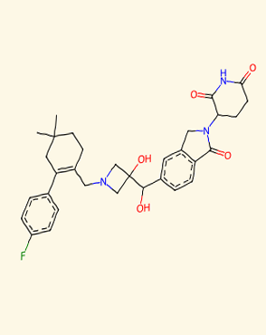 CC1(C)CCC(CN2CC(O)(C(O)c3ccc4c(c3)CN(C3CCC(=O)NC3=O)C4=O)C2)=C(c2ccc(F)cc2)C1